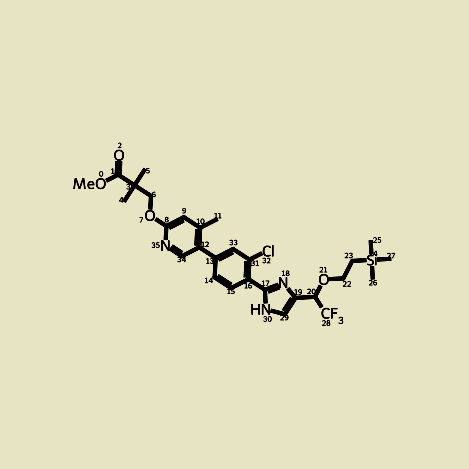 COC(=O)C(C)(C)COc1cc(C)c(-c2ccc(-c3nc(C(OCC[Si](C)(C)C)C(F)(F)F)c[nH]3)c(Cl)c2)cn1